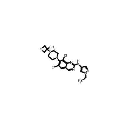 CC1(N2CCN(c3c(Cl)cc4cnc(Nc5cnn(CC(F)(F)F)c5)nc4c3Cl)CC2)COC1